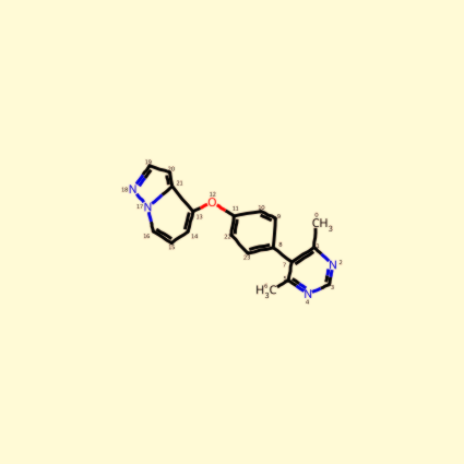 Cc1ncnc(C)c1-c1ccc(Oc2cccn3nccc23)cc1